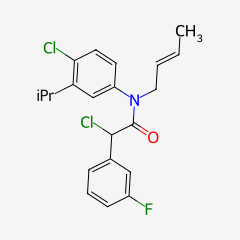 C/C=C/CN(C(=O)C(Cl)c1cccc(F)c1)c1ccc(Cl)c(C(C)C)c1